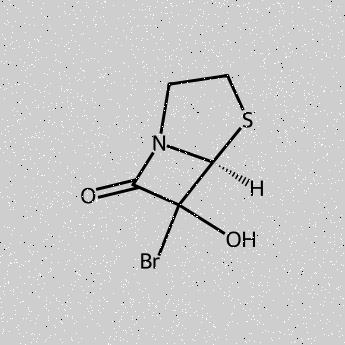 O=C1N2CCS[C@H]2C1(O)Br